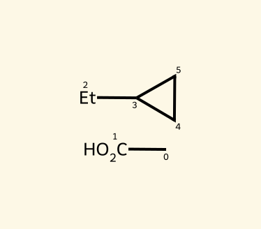 CC(=O)O.CCC1CC1